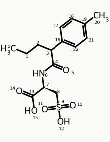 CCCC(C(=O)N[C@@H](CS(=O)(=O)O)C(=O)O)c1ccc(C)cc1